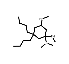 CCCCC1(CCCC)CC(PC)C[C](PC)([Ti]([CH3])[CH3])C1